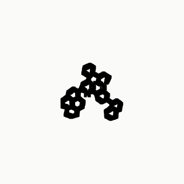 c1cncc(-c2ccccc2-c2cc(-c3ccc4ccc5cccc6ccc3c4c56)nc(-c3ccc(-c4cccc5ccccc45)cc3)n2)c1